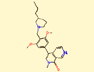 CCCC1CCCN(Cc2c(OC)cc(-c3cn(C)c(=O)c4cnccc34)cc2OC)C1